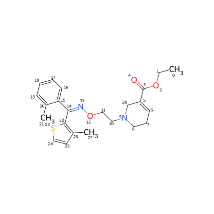 CCOC(=O)C1=CCCN(CCON=C(c2ccccc2C)c2sccc2C)C1